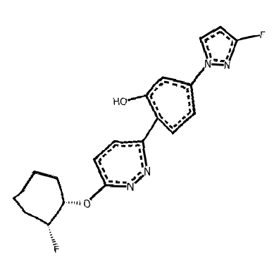 Oc1cc(-n2ccc(F)n2)ccc1-c1ccc(O[C@H]2CCCC[C@H]2F)nn1